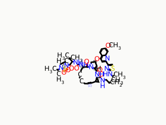 C=CCNC(=O)[C@@]12CC1/C=C\CCCCC[C@H](NC(=O)NC(C(=O)N1CCN(C(C)C)S1(=O)=O)C(C)(C)C)C(=O)N1C[C@H](Oc3cc(-c4csc(NC(C)C)n4)nc4cc(OC)ccc34)C[C@H]1C(=O)N2